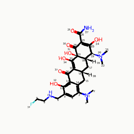 CN(C)c1cc(CNCCF)c(O)c2c1C[C@H]1C[C@H]3[C@H](N(C)C)C(O)=C(C(N)=O)C(=O)[C@@]3(O)C(O)=C1C2=O